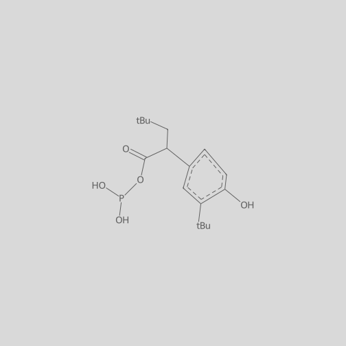 CC(C)(C)CC(C(=O)OP(O)O)c1ccc(O)c(C(C)(C)C)c1